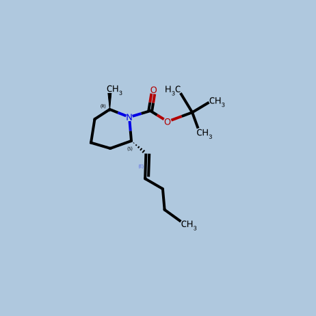 CCC/C=C/[C@@H]1CCC[C@@H](C)N1C(=O)OC(C)(C)C